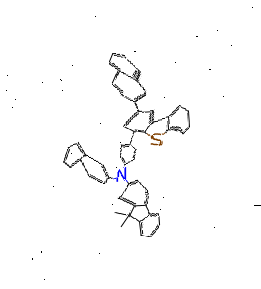 CC1(C)c2ccccc2-c2ccc(N(c3ccc(-c4cc(-c5ccc6ccccc6c5)cc5c4sc4ccccc45)cc3)c3ccc4ccccc4c3)cc21